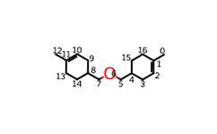 CC1=CCC(COCC2CC=C(C)CC2)CC1